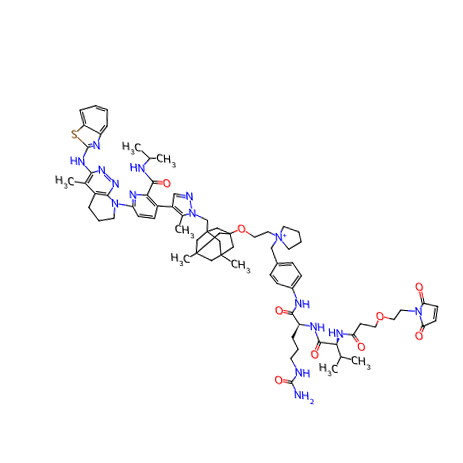 Cc1c(Nc2nc3ccccc3s2)nnc2c1CCCN2c1ccc(-c2cnn(CC34CC5(C)CC(C)(C3)CC(OCC[N+]3(Cc6ccc(NC(=O)[C@H](CCCNC(N)=O)NC(=O)[C@@H](NC(=O)CCOCCN7C(=O)C=CC7=O)C(C)C)cc6)CCCC3)(C5)C4)c2C)c(C(=O)NC(C)C)n1